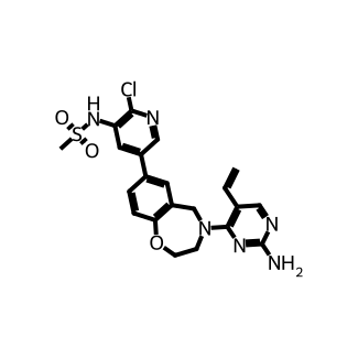 C=Cc1cnc(N)nc1N1CCOc2ccc(-c3cnc(Cl)c(NS(C)(=O)=O)c3)cc2C1